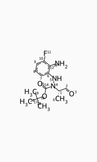 C[C@@H](C=O)N(Nc1cccc(F)c1N)C(=O)OC(C)(C)C